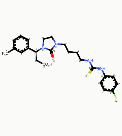 O=C(O)C[C@@H](c1cccc(C(F)(F)F)c1)N1CCN(CCCCNC(=S)Nc2ccc(F)cc2)C1=O